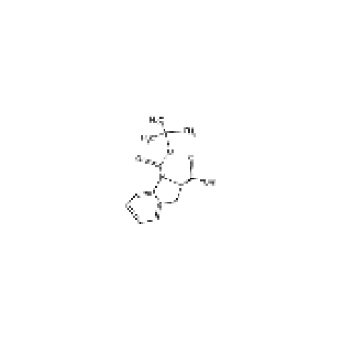 CC(C)(C)OC(=O)N1c2ccccc2C[C@@H]1C(=O)O